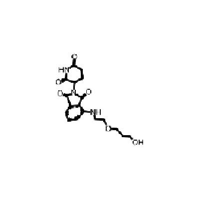 O=C1CCC(N2C(=O)c3cccc(NCCOCCCO)c3C2=O)C(=O)N1